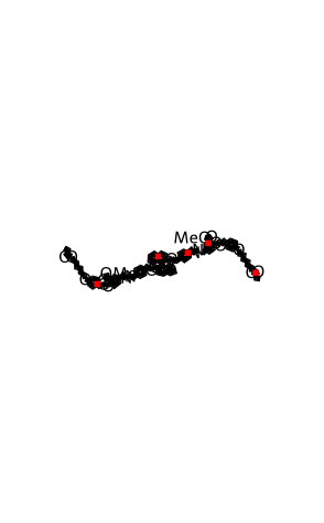 C=CC(=O)OCCCCCCOc1ccc(COOc2ccc(/C=N/N=C/c3ccc(COOc4ccc5ccccc5c4-c4c(OOCc5ccc(/C=N/N=C/c6ccc(OOCc7ccc(OCCCCCCOC(=O)C=C)cc7)c(C(=O)OC)c6)cc5)ccc5ccccc45)cc3)cc2C(=O)OC)cc1